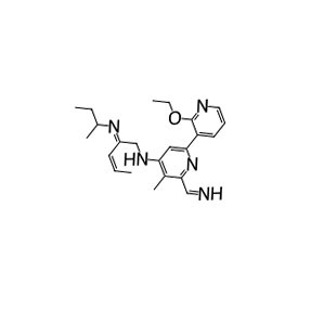 C/C=C\C(CNc1cc(-c2cccnc2OCC)nc(C=N)c1C)=N/C(C)CC